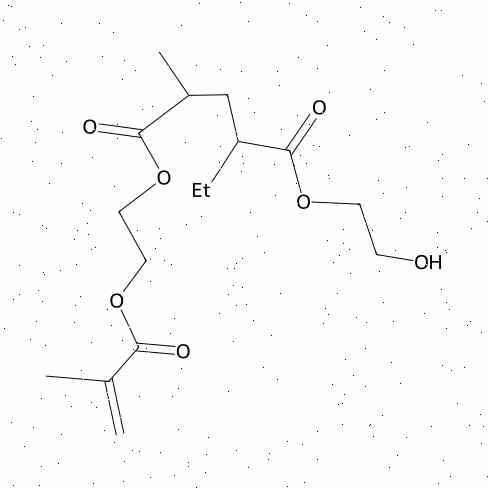 C=C(C)C(=O)OCCOC(=O)C(C)CC(CC)C(=O)OCCO